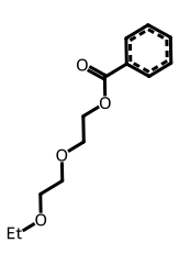 [CH2]COCCOCCOC(=O)c1ccccc1